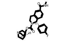 CNC(=O)c1ccc2c(c1)CCN(C(=O)O[C@@H]1CN3CCC1CC3)[C@H]2c1ccc(F)cc1